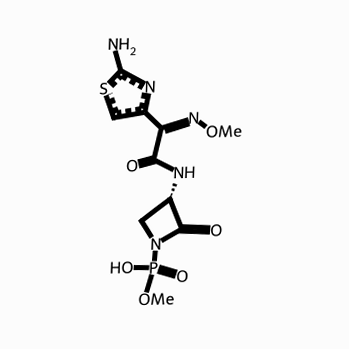 CON=C(C(=O)N[C@H]1CN(P(=O)(O)OC)C1=O)c1csc(N)n1